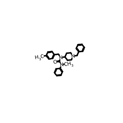 Cc1ccc(CN(C(=O)N(C)c2ccccc2)C2CCN(Cc3ccccc3)CC2)cc1